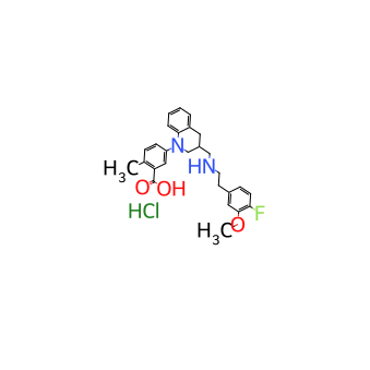 COc1cc(CCNCC2Cc3ccccc3N(c3ccc(C)c(C(=O)O)c3)C2)ccc1F.Cl